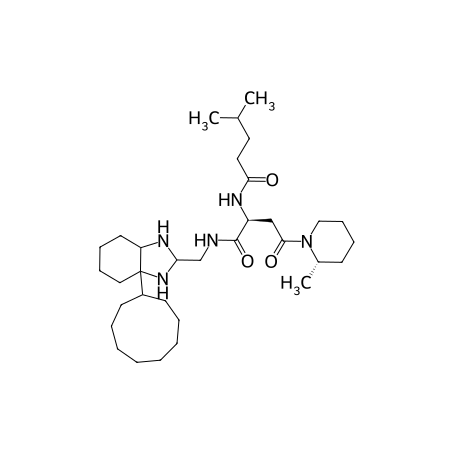 CC(C)CCC(=O)N[C@@H](CC(=O)N1CCCC[C@@H]1C)C(=O)NCC1NC2CCCCC2(C2CCCCCCCC2)N1